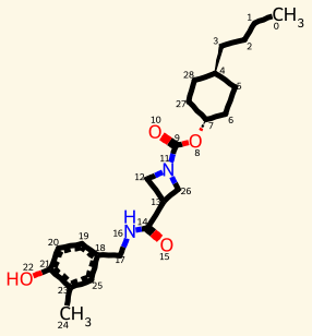 CCCC[C@H]1CC[C@H](OC(=O)N2CC(C(=O)NCc3ccc(O)c(C)c3)C2)CC1